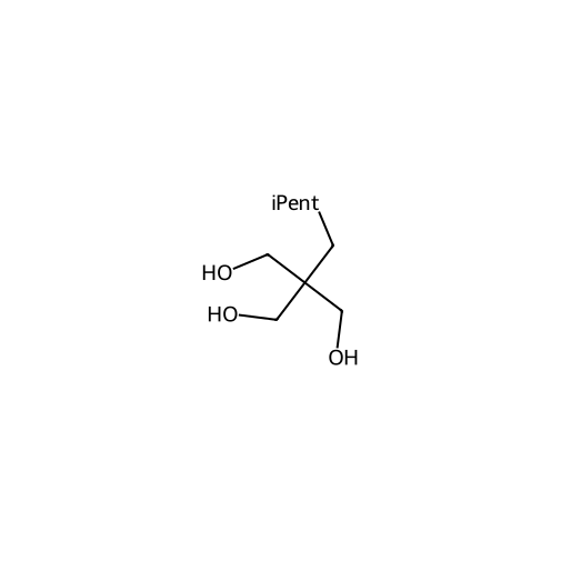 CCCC(C)CC(CO)(CO)CO